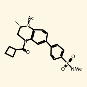 CNS(=O)(=O)c1ccc(-c2ccc3c(c2)N(C(=O)C2CCC2)C[C@H](C)N3C(C)=O)cc1